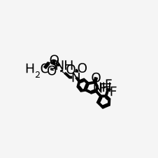 C=CS(=O)(=O)NC[C@H]1CN(c2ccc3cc(-c4ccccc4C(F)(F)F)[nH]c(=O)c3c2)C(=O)O1